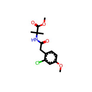 COC(=O)C(C)(C)NC(=O)Cc1ccc(OC)cc1Cl